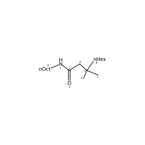 CCCCCCCCNC(=O)CC(C)(C)CCCCCC